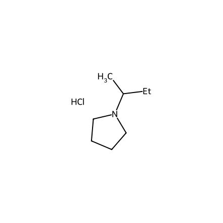 CCC(C)N1CCCC1.Cl